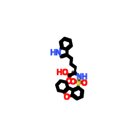 O=C(O)[C@@H](CCCc1c[nH]c2ccccc12)NS(=O)(=O)c1cccc2oc3c(c12)CCCC3